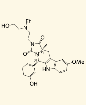 CCN(CCO)CCN1C(=O)N2[C@H](C3=CCCC(O)=C3)c3[nH]c4ccc(OC)cc4c3C[C@@]2(C)C1=O